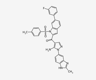 Cc1ccc(S(=O)(=O)n2c(C(=O)c3cnn(-c4ccc5[nH]c(C)nc5c4)c3N)cc3ccc(-c4cccc(F)c4)cc32)cc1